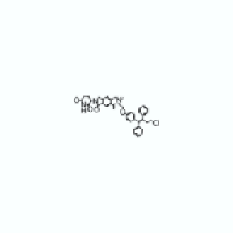 CN(CCOc1ccc(C(=C(CCCl)c2ccccc2)c2ccccc2)cc1)Cc1cc2c(cc1F)C(=O)N(C1CCC(=O)NC1=O)C2